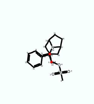 CS(=O)(=O)OCC1(c2ccccc2)CC2CCC(C1)N2C(=O)O